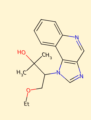 CCOCC(n1cnc2cnc3ccccc3c21)C(C)(C)O